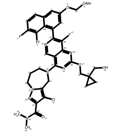 CCc1c(F)ccc2cc(OCOC)cc(-c3ncc4c(N5CCCn6nc(C(=O)N(C)C)c(Cl)c6C5)nc(OCC5(CO)CC5)nc4c3F)c12